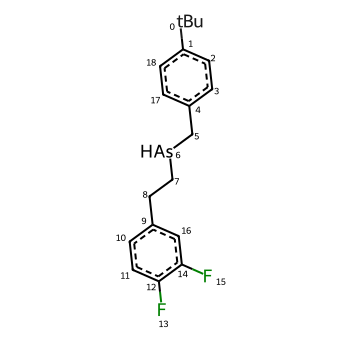 CC(C)(C)c1ccc(C[AsH]CCc2ccc(F)c(F)c2)cc1